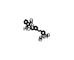 COONc1cc(/C=C/c2ccc3nc(C4=C(N=O)c5ccccc5C4=O)c(O)cc3c2)ccc1N=O